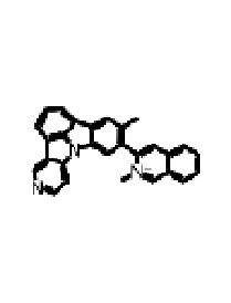 Cc1cc2c3cccc4c5cnccc5n(c2cc1-c1cc2ccccc2c[n+]1C)c43